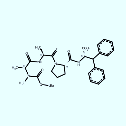 C[C@H](NC(=O)[C@H](C)N(C)C(=O)OC(C)(C)C)C(=O)N1CCC[C@H]1C(=O)N[C@H](C(=O)O)C(c1ccccc1)c1ccccc1